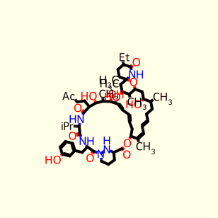 CCC1CC(C)C2(NC1=O)OC(CC(O)C(C)CC/C=C/C=C(/C)C1C/C=C/C=C/C(O)C(C)C(O)C(CCC(C)=O)C(=O)NC(C(C)C)C(=O)NC(Cc3cccc(O)c3)C(=O)N3CCCC(N3)C(=O)O1)C(C)C(O)C2C